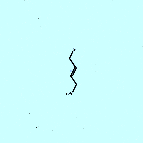 CCCC/C=C/C[S]